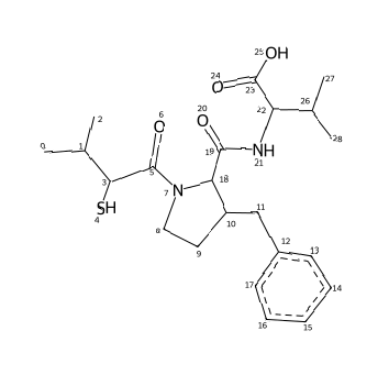 CC(C)C(S)C(=O)N1CCC(Cc2ccccc2)C1C(=O)NC(C(=O)O)C(C)C